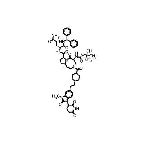 Cn1c(=O)n(C2CCC(=O)NC2=O)c2ccc(CCC3CCC(C(=O)N4CC[C@H]5CC[C@@H](C(=O)N[C@@H](CCC(N)=O)C(=O)NC(c6ccccc6)c6ccccc6)N5C(=O)[C@@H](NC(=O)OC(C)(C)C)C4)CC3)cc21